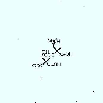 CC(CO)(CO)C(=O)[O-].CC(CO)(CO)C(=O)[O-].[Mg+2]